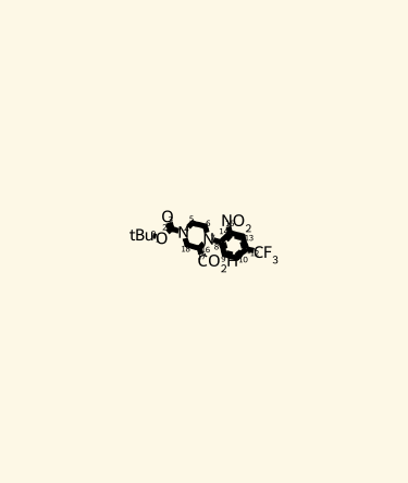 CC(C)(C)OC(=O)N1CCN(c2ccc(C(F)(F)F)cc2[N+](=O)[O-])C(C(=O)O)C1